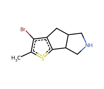 Cc1sc2c(c1Br)CC1CNCC21